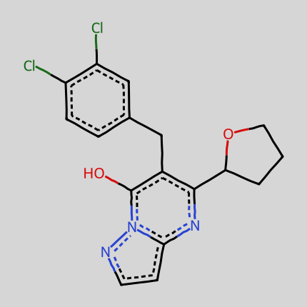 Oc1c(Cc2ccc(Cl)c(Cl)c2)c(C2CCCO2)nc2ccnn12